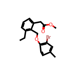 CCc1cccc(CC(=O)OC)c1COc1ccc(C)cc1Br